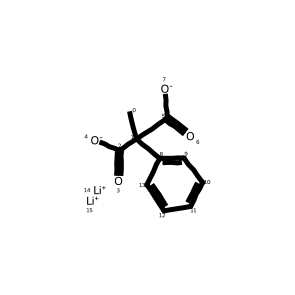 CC(C(=O)[O-])(C(=O)[O-])c1ccccc1.[Li+].[Li+]